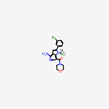 Cl.Cn1c(-c2cccc(Br)c2)cc2c(N)ncc(C(=O)N3CCOCC3)c21